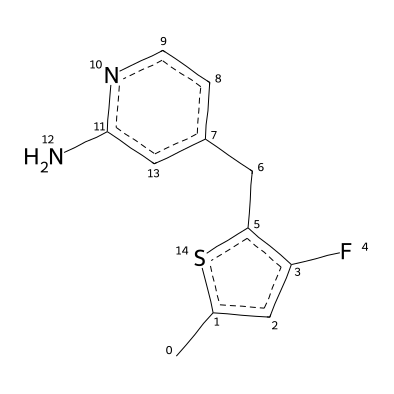 Cc1cc(F)c(Cc2ccnc(N)c2)s1